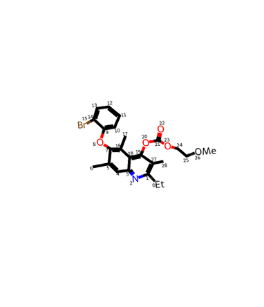 CCc1nc2cc(C)c(Oc3ccccc3Br)c(C)c2c(OC(=O)OCCOC)c1C